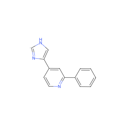 [c]1nc(-c2ccnc(-c3ccccc3)c2)c[nH]1